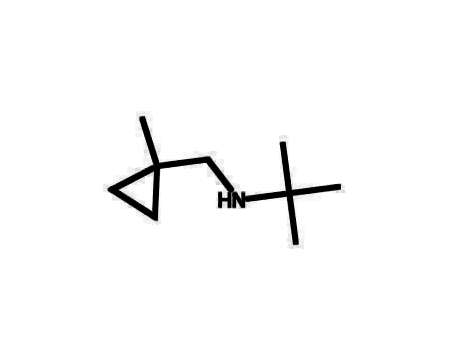 CC1(CNC(C)(C)C)CC1